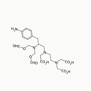 Nc1ccc(CC(CN(CCN(CC(=O)O)CC(=O)O)CC(=O)O)N(COC=O)COC=O)cc1